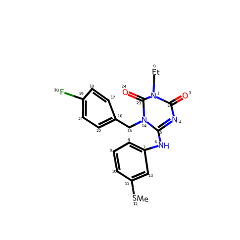 CCn1c(=O)nc(Nc2cccc(SC)c2)n(Cc2ccc(F)cc2)c1=O